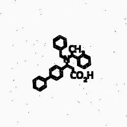 CC(c1ccccc1)N(Cc1ccccc1)C(CC(=O)O)c1ccc(-c2ccccc2)cc1